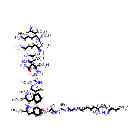 CC(C)C[C@H](N)C(=O)O.CC(C)[C@H](N)C(=O)O.CC[C@H](C)[C@H](N)C(=O)O.CC[C@H](C)[C@H](N)C(=O)O.NC(=O)C[C@H](N)C(=O)O.NCC(=O)O.NCC(=O)O.NCC(=O)O.NCCCC[C@H](N)C(=O)O.NCCCC[C@H](N)C(=O)O.NCCCC[C@H](N)C(=O)O.N[C@@H](CC(=O)O)C(=O)O.N[C@@H](CCC(=O)O)C(=O)O.N[C@@H](Cc1ccc(O)cc1)C(=O)O.N[C@@H](Cc1ccccc1)C(=O)O